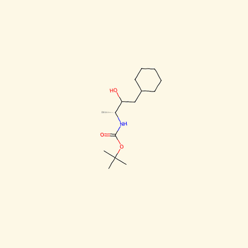 C[C@@H](NC(=O)OC(C)(C)C)C(O)CC1CCCCC1